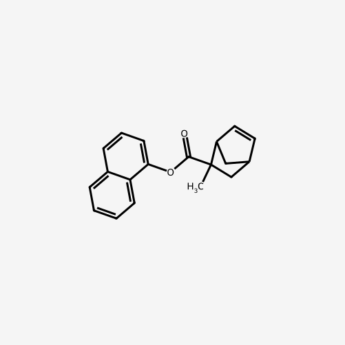 CC1(C(=O)Oc2cccc3ccccc23)CC2C=CC1C2